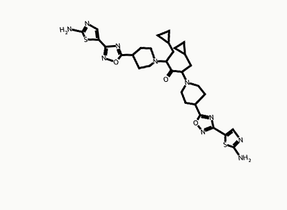 Nc1ncc(-c2noc(C3CCN(C(CC4CC4)C(=O)C(CC4CC4)N4CCC(c5nc(-c6cnc(N)s6)no5)CC4)CC3)n2)s1